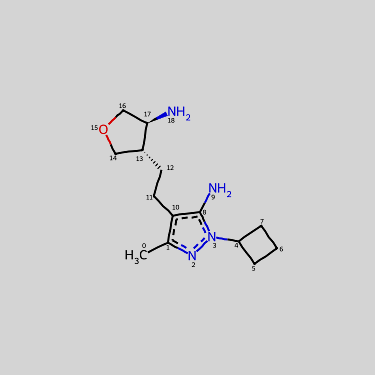 Cc1nn(C2CCC2)c(N)c1CC[C@@H]1COC[C@H]1N